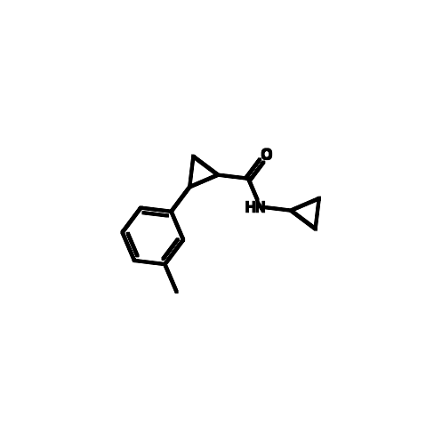 Cc1cccc(C2CC2C(=O)NC2CC2)c1